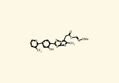 CON=COC(=O)Cc1c(C)nc2sc(-c3ccc(-c4ncccc4C(F)(F)F)cc3O)nn12